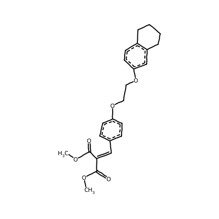 COC(=O)C(=Cc1ccc(OCCOc2ccc3c(c2)CCCC3)cc1)C(=O)OC